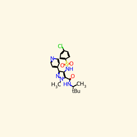 C[C@H](NC(=O)c1c(NS(=O)(=O)c2ccc(Cl)cc2)c(-c2ccncc2)nn1C)C(C)(C)C